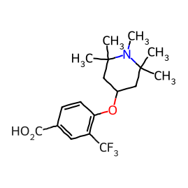 CN1C(C)(C)CC(Oc2ccc(C(=O)O)cc2C(F)(F)F)CC1(C)C